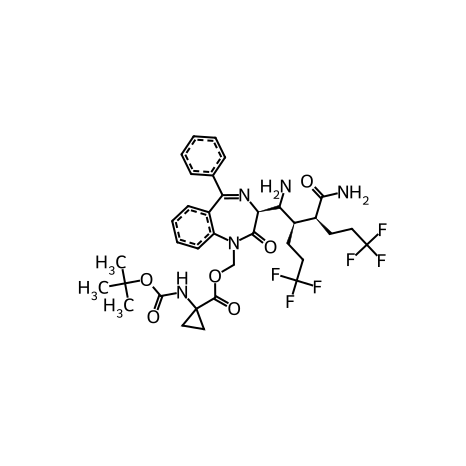 CC(C)(C)OC(=O)NC1(C(=O)OCN2C(=O)[C@H](C(N)[C@H](CCC(F)(F)F)[C@H](CCC(F)(F)F)C(N)=O)N=C(c3ccccc3)c3ccccc32)CC1